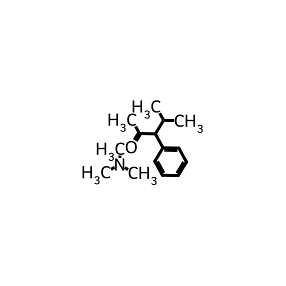 CC(=O)C(c1ccccc1)C(C)C.CN(C)C